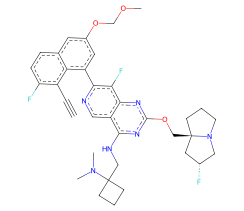 C#Cc1c(F)ccc2cc(OCOC)cc(-c3ncc4c(NCC5(N(C)C)CCC5)nc(OC[C@@]56CCCN5C[C@H](F)C6)nc4c3F)c12